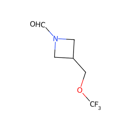 O=CN1CC(COC(F)(F)F)C1